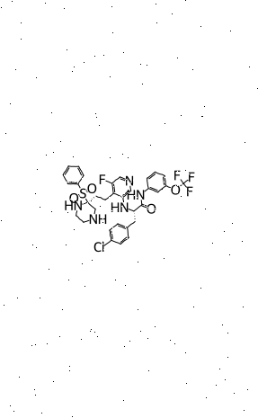 O=C(Nc1cccc(OC(F)(F)F)c1)[C@H](Cc1ccc(Cl)cc1)Nc1cncc(F)c1CC[C@]1(S(=O)(=O)c2ccccc2)CNCCN1